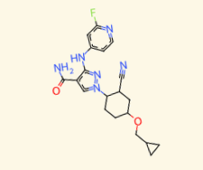 N#CC1CC(OCC2CC2)CCC1n1cc(C(N)=O)c(Nc2ccnc(F)c2)n1